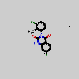 Cc1c(Br)cccc1-n1c(=O)[nH]c2cc(F)ccc2c1=O